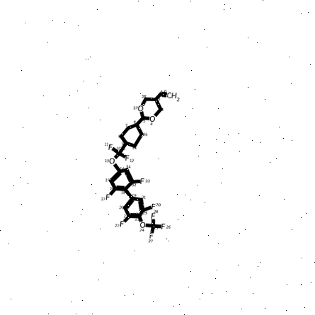 C=CC1COC(C2CCC(C(F)(F)Oc3cc(F)c(-c4cc(F)c(OC(F)(F)F)c(F)c4)c(F)c3)CC2)OC1